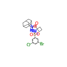 NC(=O)C12CC3CC(C1)C(NC(=O)C1(NS(=O)(=O)c4cc(Cl)cc(Br)c4)CCC1)C(C3)C2